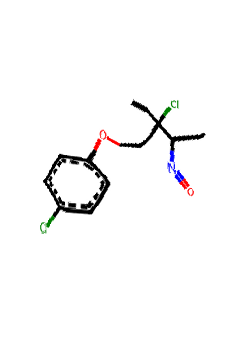 CC(N=O)C(C)(Cl)COc1ccc(Cl)cc1